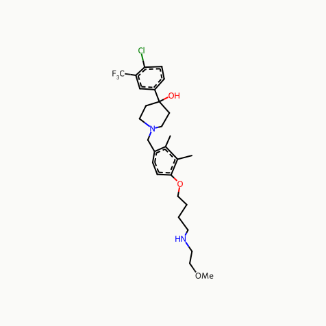 COCCNCCCCOc1ccc(CN2CCC(O)(c3ccc(Cl)c(C(F)(F)F)c3)CC2)c(C)c1C